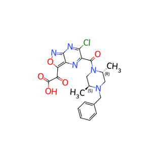 C[C@@H]1CN(Cc2ccccc2)[C@@H](C)CN1C(=O)c1nc2c(C(=O)C(=O)O)onc2nc1Cl